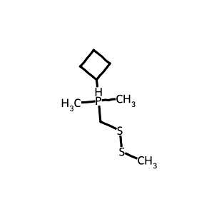 CSSC[PH](C)(C)C1CCC1